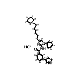 Cl.O=C(Nc1nc(CCCCCCN2CCCCC2)cn1-c1ccccc1)c1cccc(-c2cn[nH]c2)c1